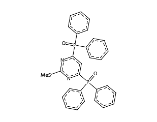 CSc1nc(P(=O)(c2ccccc2)c2ccccc2)cc(P(=O)(c2ccccc2)c2ccccc2)n1